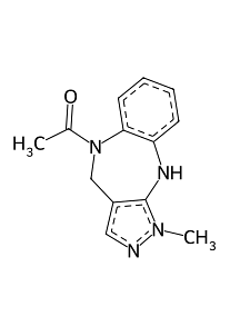 CC(=O)N1Cc2cnn(C)c2Nc2ccccc21